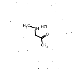 CNCC(C)=O.Cl